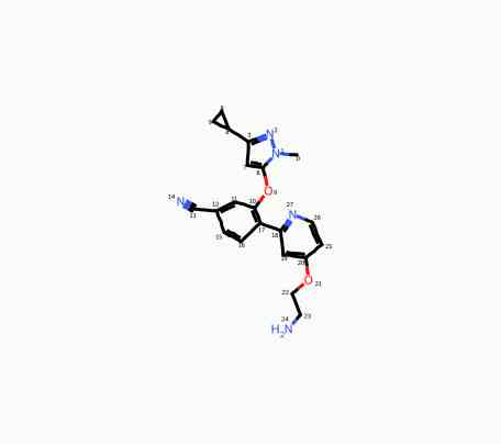 Cn1nc(C2CC2)cc1Oc1cc(C#N)ccc1-c1cc(OCCN)ccn1